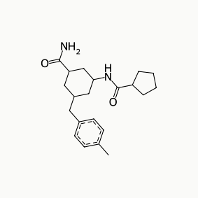 Cc1ccc(CC2CC(NC(=O)C3CCCC3)CC(C(N)=O)C2)cc1